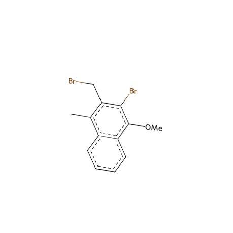 COc1c(Br)c(CBr)c(C)c2ccccc12